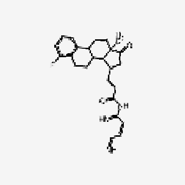 C[C@]12CCC3c4cccc(F)c4CCC3C1[C@H](CCC(=O)NC(=N)/C=C\C=N)CC2=O